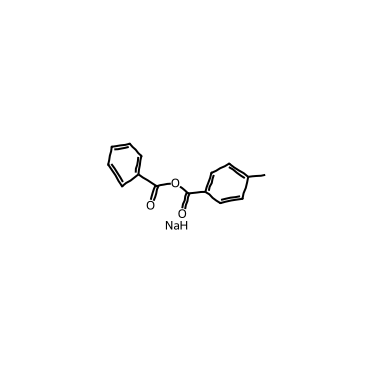 Cc1ccc(C(=O)OC(=O)c2ccccc2)cc1.[NaH]